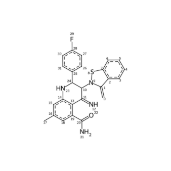 C=C1c2ccccc2SN1C1C(=N)c2c(cc(C)cc2C(N)=O)NC1c1ccc(F)cc1